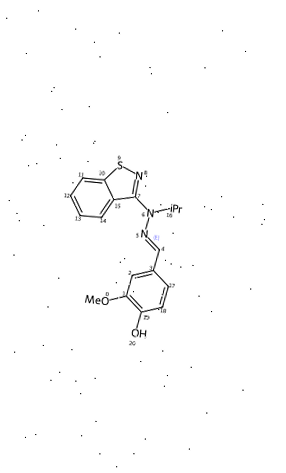 COc1cc(/C=N/N(c2nsc3ccccc23)C(C)C)ccc1O